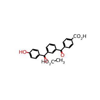 CC(=O)O.O=C(O)c1ccc(C(=O)c2cccc(C(=O)c3ccc(O)cc3)c2)cc1